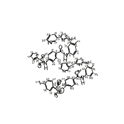 Cc1ccc(NC(=O)c2ccc(NS(=O)(=O)c3cccs3)cc2)cc1Nc1nc(-c2cccnc2)cs1.Cc1ccc(NC(=O)c2ccc(OS(=O)(=O)c3ccc(I)cc3)cc2)cc1Nc1nc(-c2cccnc2)cs1